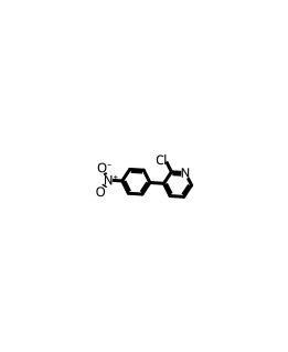 O=[N+]([O-])c1ccc(-c2cccnc2Cl)cc1